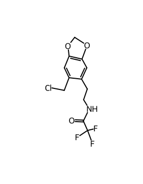 O=C(NCCc1cc2c(cc1CCl)OCO2)C(F)(F)F